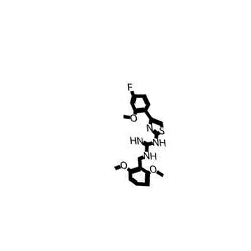 COc1cc(F)ccc1-c1csc(NC(=N)NCc2c(OC)cccc2OC)n1